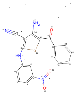 N#Cc1c(Nc2cccc([N+](=O)[O-])c2)sc(C(=O)c2ccccc2)c1N